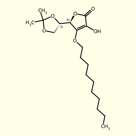 CCCCCCCCCCOC1=C(O)C(=O)O[C@@H]1[C@@H]1COC(C)(C)O1